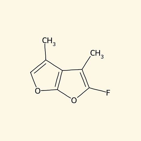 Cc1coc2oc(F)c(C)c12